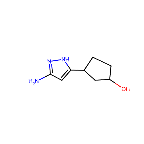 Nc1cc(C2CCC(O)C2)[nH]n1